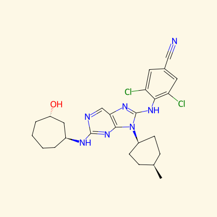 C[C@H]1CC[C@@H](n2c(Nc3c(Cl)cc(C#N)cc3Cl)nc3cnc(N[C@H]4CCCC[C@H](O)C4)nc32)CC1